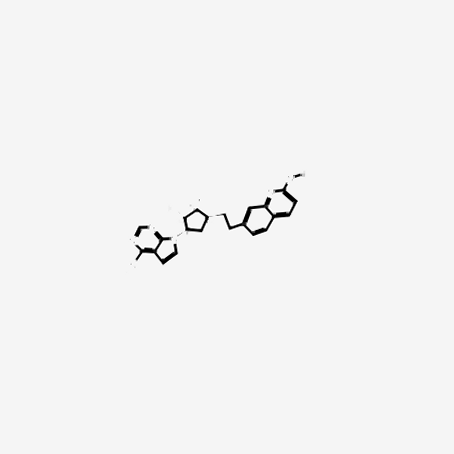 CC(C)Nc1ccc2ccc(CC[C@H]3C[C@@H](n4ccc5c(N)ncnc54)[C@H](O)[C@@H]3O)cc2n1